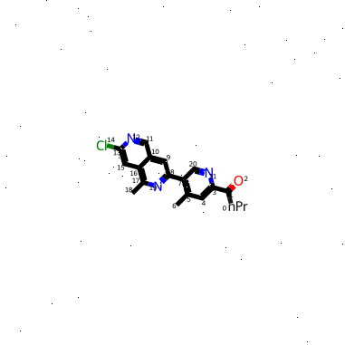 CCCC(=O)c1cc(C)c(-c2cc3cnc(Cl)cc3c(C)n2)cn1